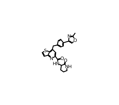 Cc1nc(-c2ccc(Cc3cc(C(=O)NC4CCCNC4=O)nc4ccsc34)cc2)co1